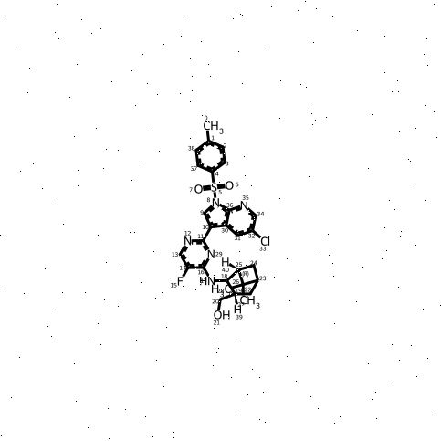 Cc1ccc(S(=O)(=O)n2cc(-c3ncc(F)c(NC4[C@@H](CO)CC5C[C@@H]4C5(C)C)n3)c3cc(Cl)cnc32)cc1